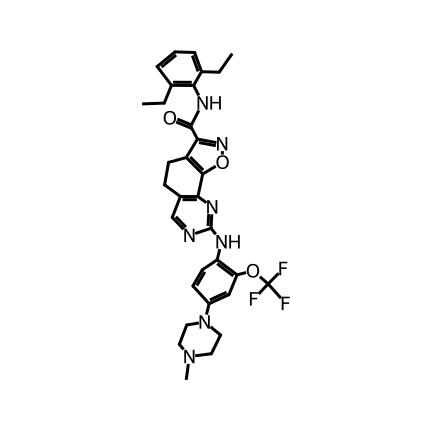 CCc1cccc(CC)c1NC(=O)c1noc2c1CCc1cnc(Nc3ccc(N4CCN(C)CC4)cc3OC(F)(F)F)nc1-2